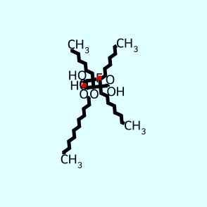 CCCCCCCCCCCCOC(C(=O)O)(C(F)(CCCCCCC)C(=O)O)C(CCCCCCCC)(CCCCCCCC)C(=O)O